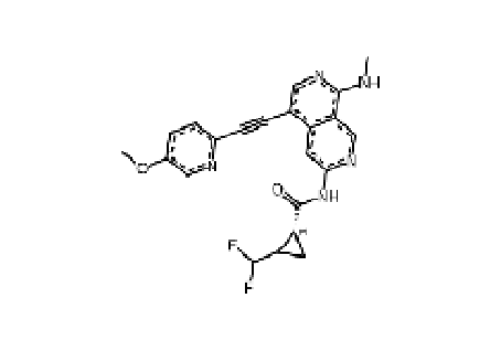 CNc1ncc(C#Cc2ccc(OC)cn2)c2cc(NC(=O)[C@@H]3CC3C(F)F)ncc12